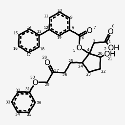 O=C(O)CC1(OC(=O)c2cccc(-c3ccccc3)c2)C(O)CCC1CCC(=O)COc1ccccc1